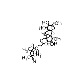 CC(C)(C#N)CC(C)(C)C(=O)OCCC1OC[C@H]2O[C@H](O[C@@H]3O[C@H](CO)[C@@H](O)[C@H](O)[C@H]3O)[C@H](O)[C@@H](O)[C@@H]2O1